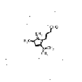 CC1C=C(N(C)C)N(CCCC=O)N1C